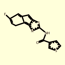 O=C(Nc1nc2c(s1)=CC1=CC(F)=CCC=21)c1ccsc1